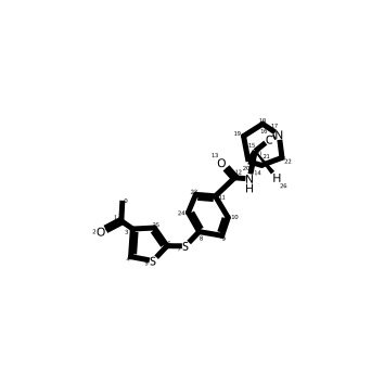 CC(=O)c1csc(Sc2ccc(C(=O)N[C@H]3CN4CCC3CC4)cc2)c1